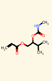 C=CC(=O)OCC(OC(=O)NC)C(C)C